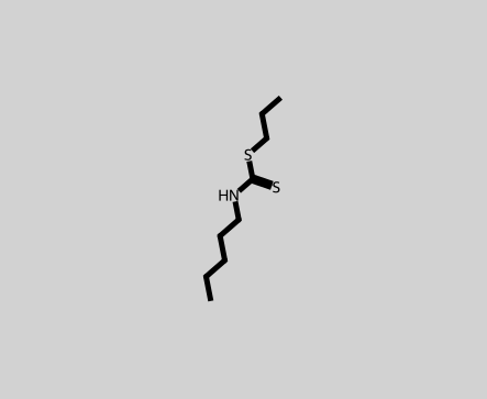 CCCCCNC(=S)SCCC